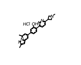 Cc1cc2cc(-c3ccc(-c4ccc(C5CN(C)C5)nn4)c(O)c3)cc(C)n2n1.Cl